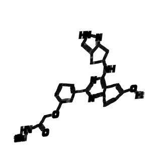 CCOc1ccc2nc(-c3cccc(OCC(=O)NC(C)(C)C)c3)nc(NC3Cc4c[nH]nc4C3)c2c1